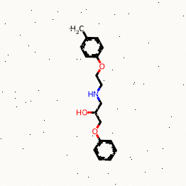 [CH2]c1ccc(OCCNCC(O)COc2ccccc2)cc1